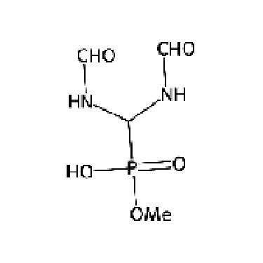 COP(=O)(O)C(NC=O)NC=O